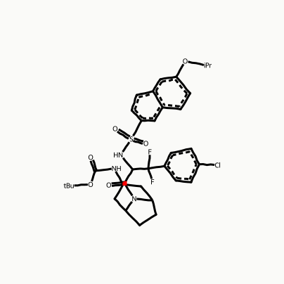 CC(C)Oc1ccc2cc(S(=O)(=O)NC(C(=O)N3C4CCC3CC(NC(=O)OC(C)(C)C)C4)C(F)(F)c3ccc(Cl)cc3)ccc2c1